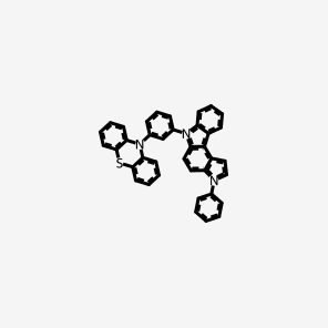 c1ccc(-n2ccc3c4c5ccccc5n(-c5cccc(N6c7ccccc7Sc7ccccc76)c5)c4ccc32)cc1